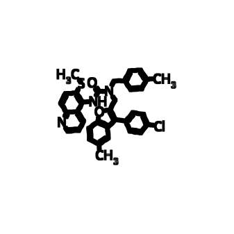 CSc1ccc2ncccc2c1NC(=O)N(Cc1ccc(C)cc1)Cc1oc2ccc(C)cc2c1-c1ccc(Cl)cc1